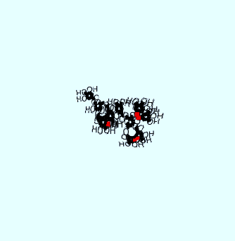 O=C(OC1OC2COC(=O)c3cc(Oc4c(C(=O)OC5OC6COC(=O)c7cc(O)c(O)c(O)c7-c7c(cc(O)c(O)c7O)C(=O)OC6C(OC(=O)c6cc(O)c(O)c(O)c6)C5OC(=O)c5cc(O)c(O)c(O)c5)cc(O)c(O)c4O)c(O)c(O)c3-c3c(cc(O)c(O)c3O)C(=O)OC(C2O)C1O)c1cc(O)c(O)c(O)c1